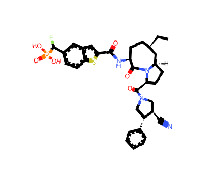 CC[C@@H]1CC[C@H](NC(=O)c2cc3cc(C(F)P(=O)(O)O)ccc3s2)C(=O)N2[C@H](CC[C@H]2C(=O)N2C[C@@H](C#N)[C@H](c3ccccc3)C2)C1